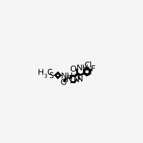 CS[C@H]1C[C@H](NC(=O)N2CCn3nc(-c4ccc(F)c(Cl)c4)c(C(N)=O)c3C2)C1